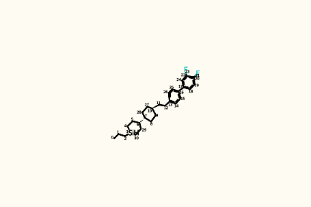 CCC[SiH]1CCC([C@H]2CC[C@H](CCc3ccc(-c4ccc(F)c(F)c4)cc3)CC2)CC1